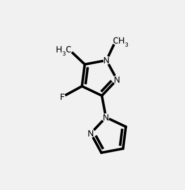 Cc1c(F)c(-n2cccn2)nn1C